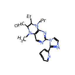 CCC1C(C=O)N(C)c2cnc(-n3ccnc3-c3ccccn3)nc2N1C(C)C